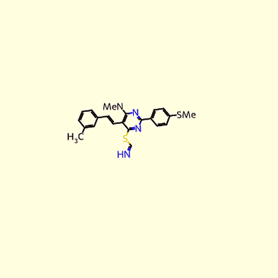 CNc1nc(-c2ccc(SC)cc2)nc(SC=N)c1/C=C/c1cccc(C)c1